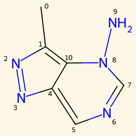 Cc1nnc2cncn(N)c1-2